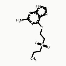 CCCS(=O)(=O)CCSc1nc(N)nc2[nH]cnc12